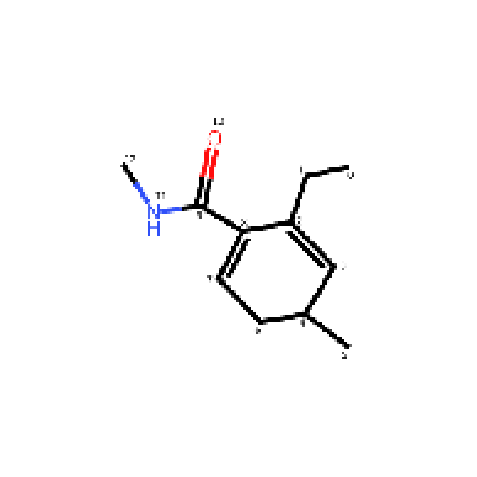 CCC1=CC(C)CC=C1C(=O)NC